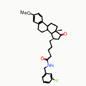 COc1ccc2c(c1)CCC1C2CC[C@]2(C)C(=O)C[C@@H](CCCCC(=O)NCc3cccc(F)c3)C12